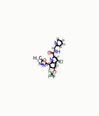 Cc1nnc(-c2cc(OC(F)(F)F)cc3c(Cl)cc(C(=O)NCc4ccccn4)nc23)o1